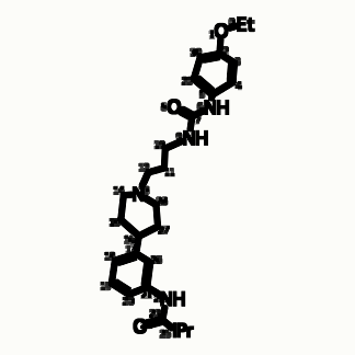 CCOc1ccc(NC(=O)NCCCN2CCC(c3cccc(NC(=O)C(C)C)c3)CC2)cc1